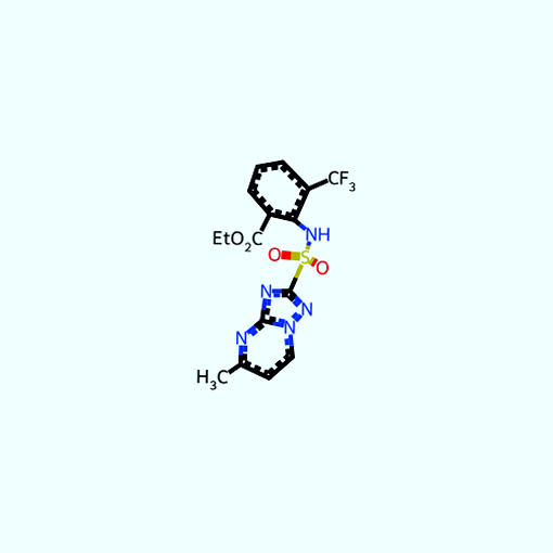 CCOC(=O)c1cccc(C(F)(F)F)c1NS(=O)(=O)c1nc2nc(C)ccn2n1